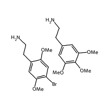 COc1cc(CCN)c(OC)cc1Br.COc1cc(CCN)cc(OC)c1OC